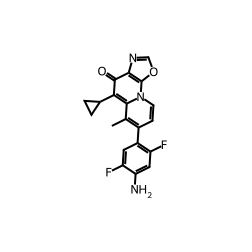 Cc1c(-c2cc(F)c(N)cc2F)ccn2c1c(C1CC1)c(=O)c1ncoc12